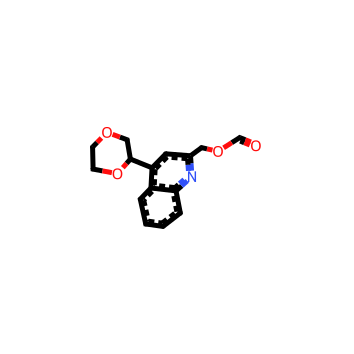 O=COCc1cc(C2COCCO2)c2ccccc2n1